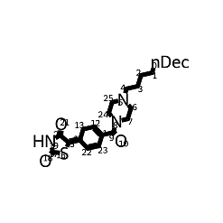 CCCCCCCCCCCCCCN1CCN(C(=O)C2=CCC(=C3SC(=O)NC3=O)C=C2)CC1